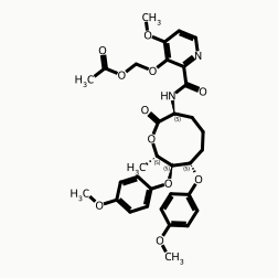 COc1ccc(O[C@H]2[C@H](C)OC(=O)[C@@H](NC(=O)c3nccc(OC)c3OCOC(C)=O)CCC[C@@H]2Oc2ccc(OC)cc2)cc1